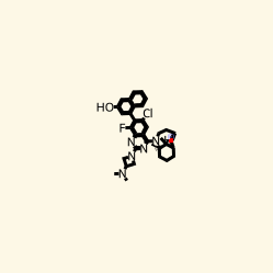 C[C@@H]1C2/C=C/CCN(c3nc(N4CC(N(C)C)C4)nc4c(F)c(-c5cc(O)cc6ccccc56)c(Cl)cc34)[C@@]1(C)CCC2